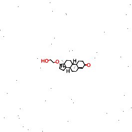 C[C@]12CC[C@H]3[C@@H](CCC4=CC(=O)CC[C@@]43C)[C@@H]1CC[C@@H]2OCCO